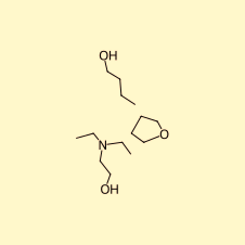 C1CCOC1.CCCCO.CCN(CC)CCO